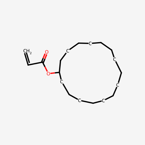 C=CC(=O)OC1CCCCCCCCCCCCCCC1